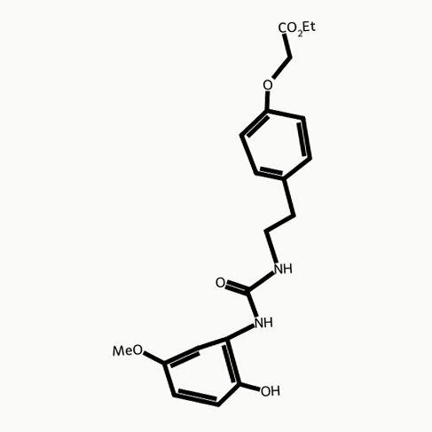 CCOC(=O)COc1ccc(CCNC(=O)Nc2cc(OC)ccc2O)cc1